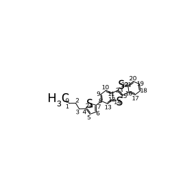 CCCCc1ccc(-c2ccc3c(c2)sc2c4ccccc4sc32)s1